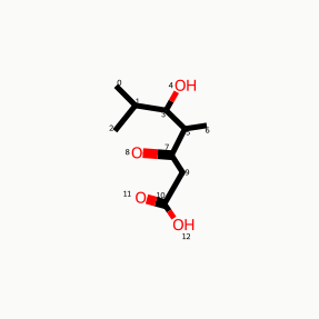 CC(C)C(O)C(C)C(=O)CC(=O)O